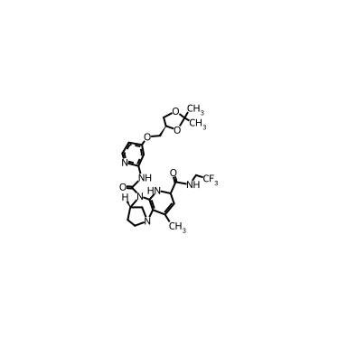 CC1=CC(C(=O)NCC(F)(F)F)NC2=C1N1CC[C@@H](C1)N2C(=O)Nc1cc(OC[C@H]2COC(C)(C)O2)ccn1